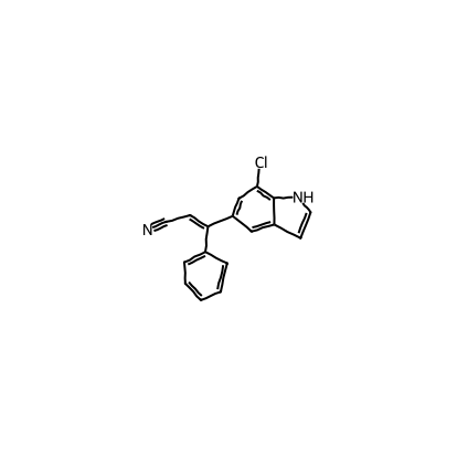 N#CC=C(c1ccccc1)c1cc(Cl)c2[nH]ccc2c1